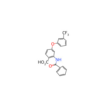 O=C(Nc1cc(Oc2cccc(C(F)(F)F)c2)ccc1C(=O)O)c1ccccc1